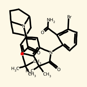 CC(C)(C)OC(=O)N1CC2CCC(C1)N2c1ccc2c(c1)N(c1cccc(Br)c1C(N)=O)C(=O)C2(C)C